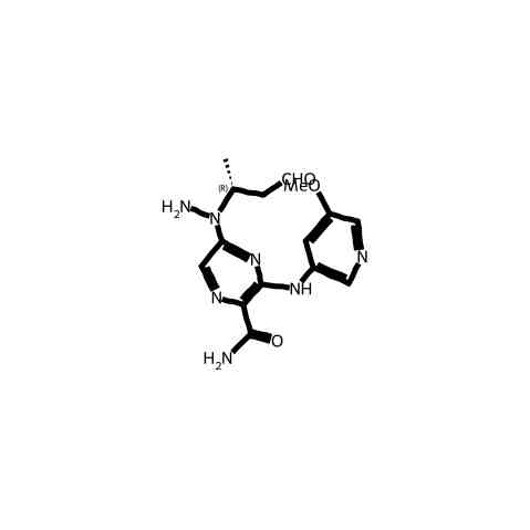 COc1cncc(Nc2nc(N(N)[C@H](C)CC=O)cnc2C(N)=O)c1